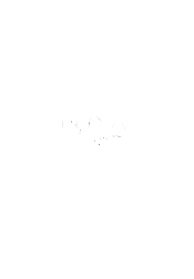 NC(=O)C1=CC=CC(C(N)=O)(c2ccc(F)cc2)C1